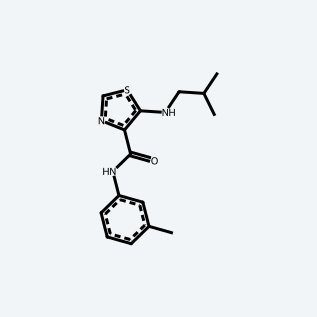 Cc1cccc(NC(=O)c2ncsc2NCC(C)C)c1